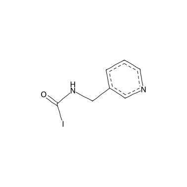 O=C(I)NCc1cccnc1